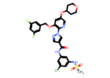 CS(=O)(=O)Nc1cc(Cl)cc(NC(=O)c2cnn(-c3ncc(OC4CCOCC4)cc3OCc3cc(F)cc(F)c3)c2)c1